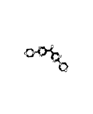 O=C(c1cnc(N2CCOCC2)nc1)c1cnc(N2CCOCC2)nc1